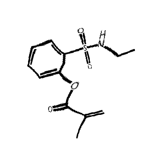 C=C(C)C(=O)Oc1ccccc1S(=O)(=O)NCC